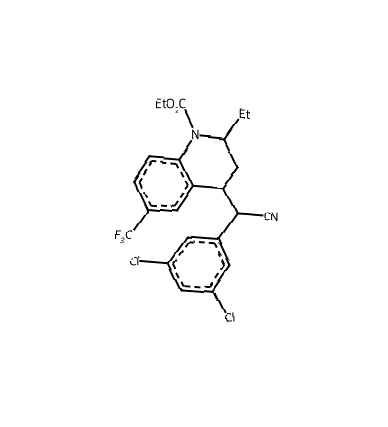 CCOC(=O)N1c2ccc(C(F)(F)F)cc2C(C(C#N)c2cc(Cl)cc(Cl)c2)CC1CC